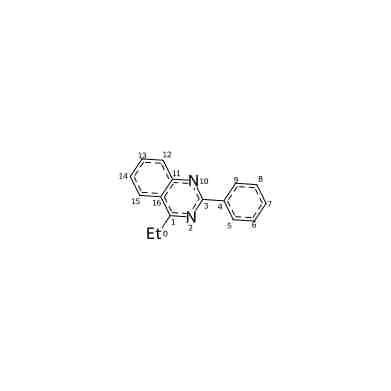 [CH2]Cc1nc(-c2ccccc2)nc2ccccc12